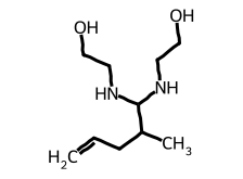 C=CCC(C)C(NCCO)NCCO